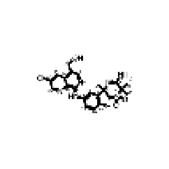 CC1(c2cc(Nc3ncc(CO)c4cc(Cl)cnc34)ccc2F)CS(=O)(=O)C(C)(C)C(N)=N1